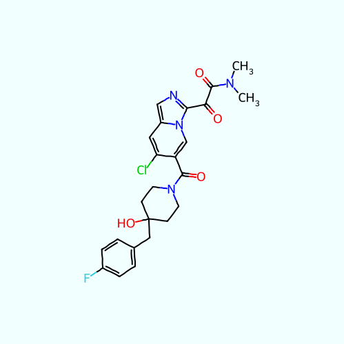 CN(C)C(=O)C(=O)c1ncc2cc(Cl)c(C(=O)N3CCC(O)(Cc4ccc(F)cc4)CC3)cn12